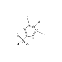 CCS(=O)(=O)c1cc(F)c(Br)c(F)c1